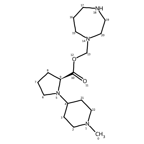 CN1CCC(N2CCC[C@H]2C(=O)OCN2CCCNCC2)CC1